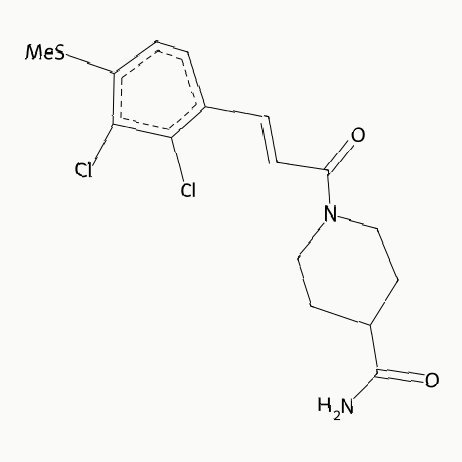 CSc1ccc(/C=C/C(=O)N2CCC(C(N)=O)CC2)c(Cl)c1Cl